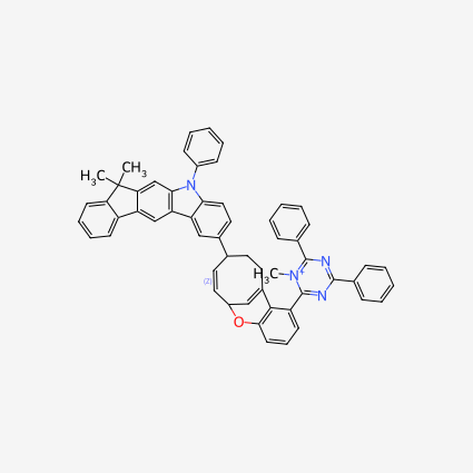 C[n+]1c(-c2ccccc2)nc(-c2ccccc2)nc1-c1cccc2c1C1=CC(/C=C\C(c3ccc4c(c3)c3cc5c(cc3n4-c3ccccc3)C(C)(C)c3ccccc3-5)CC1)O2